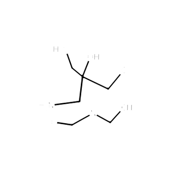 CCC(O)(CC)CN.CCNCC